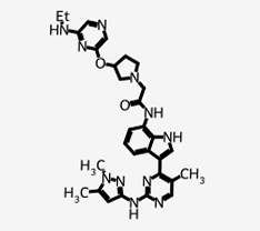 CCNc1cncc(OC2CCN(CC(=O)Nc3cccc4c(-c5nc(Nc6cc(C)n(C)n6)ncc5C)c[nH]c34)C2)n1